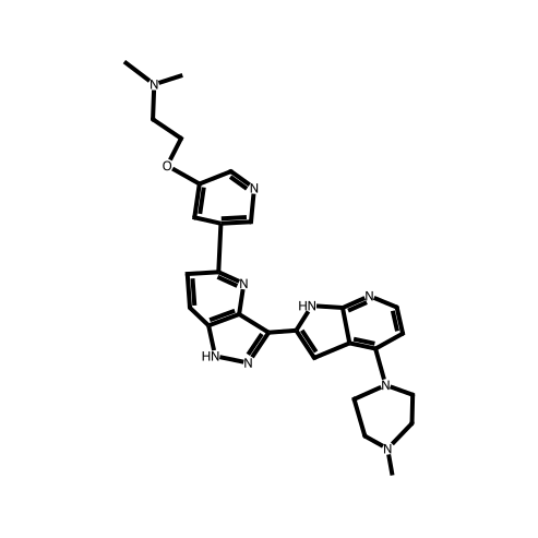 CN(C)CCOc1cncc(-c2ccc3[nH]nc(-c4cc5c(N6CCN(C)CC6)ccnc5[nH]4)c3n2)c1